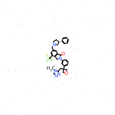 Cn1cnnc1CC1(c2cccc(N3Cc4c(cc(CN5CC[C@H](c6ccccc6)C5)cc4C(F)(F)F)C3=O)c2)COC1